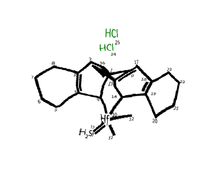 CC1=CC2=C(CCCC2)[CH]1[Hf]([CH3])([CH3])(=[SiH2])[CH]1C(C)=CC2=C1CCCC2.Cl.Cl